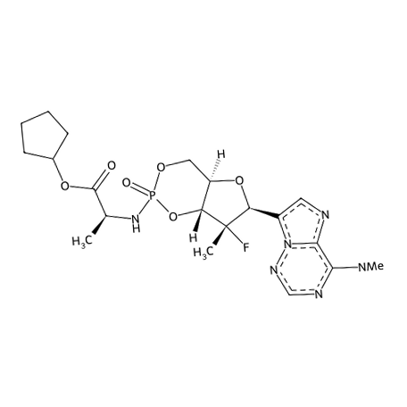 CNc1ncnn2c([C@@H]3O[C@@H]4COP(=O)(N[C@@H](C)C(=O)OC5CCCC5)O[C@H]4[C@@]3(C)F)cnc12